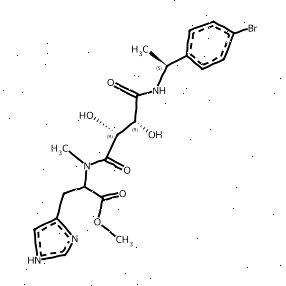 COC(=O)C(Cc1c[nH]cn1)N(C)C(=O)[C@H](O)[C@@H](O)C(=O)N[C@@H](C)c1ccc(Br)cc1